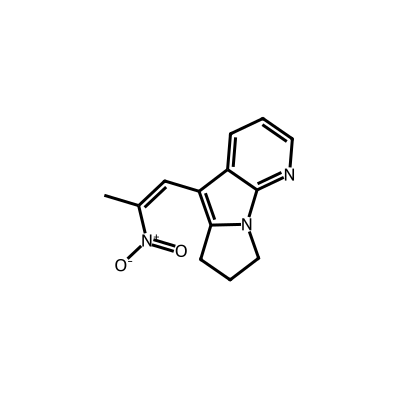 CC(=Cc1c2n(c3ncccc13)CCC2)[N+](=O)[O-]